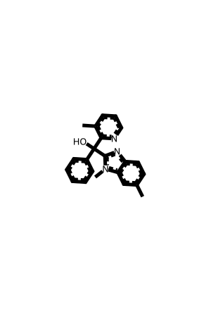 Cc1ccc2nc(C(O)(c3ccccc3)c3ncccc3C)n(C)c2c1